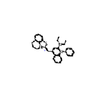 CCN(CC)c1cc(/C=C2\Sc3cccc4c3N2CCC4)c2ccccc2[n+]1-c1ccccc1